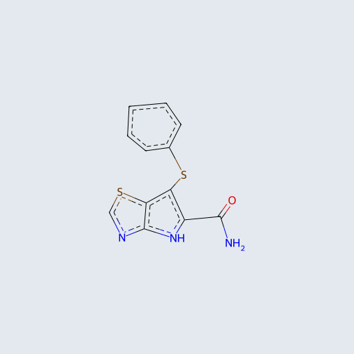 NC(=O)c1[nH]c2ncsc2c1Sc1ccccc1